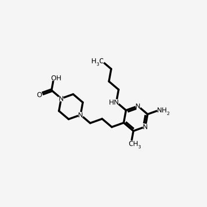 CCCCNc1nc(N)nc(C)c1CCCN1CCN(C(=O)O)CC1